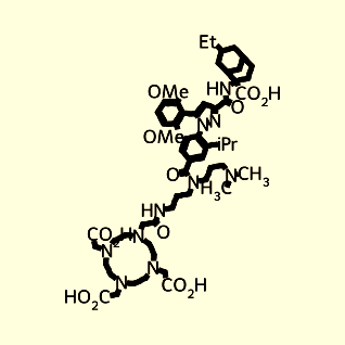 CCC1CC2CCC(NC(=O)c3cc(-c4c(OC)cccc4OC)n(-c4ccc(C(=O)N(CCCNC(=O)CN5CCN(CC(=O)O)CCN(CC(=O)O)CCN(CC(=O)O)CC5)CCCN(C)C)cc4C(C)C)n3)(C(=O)O)C(C1)C2